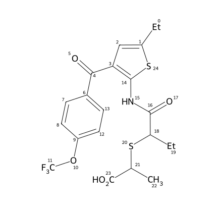 CCc1cc(C(=O)c2ccc(OC(F)(F)F)cc2)c(NC(=O)C(CC)SC(C)C(=O)O)s1